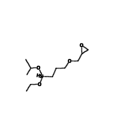 CCO[SiH](CCCOCC1CO1)OC(C)C